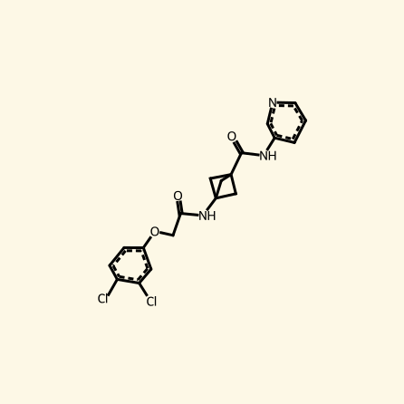 O=C(COc1ccc(Cl)c(Cl)c1)NC12CC(C(=O)Nc3cccnc3)(C1)C2